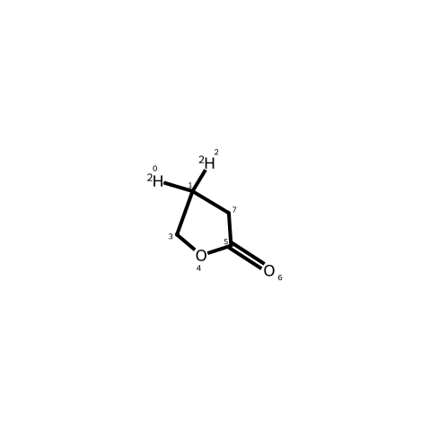 [2H]C1([2H])COC(=O)C1